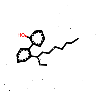 CCCCCCCC(CC)c1ccccc1-c1ccccc1O